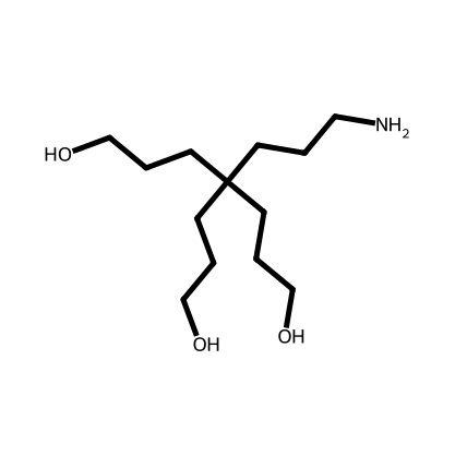 NCCCC(CCCO)(CCCO)CCCO